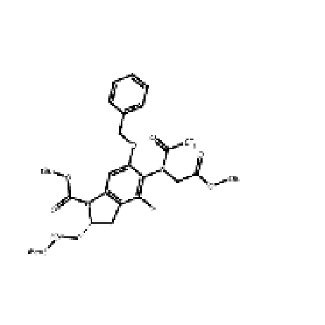 CCCC(C)NC[C@H]1Cc2c(cc(OCc3ccccc3)c(N(CC(=O)OC(C)(C)C)C(=O)C(F)(F)F)c2F)N1C(=O)OC(C)(C)C